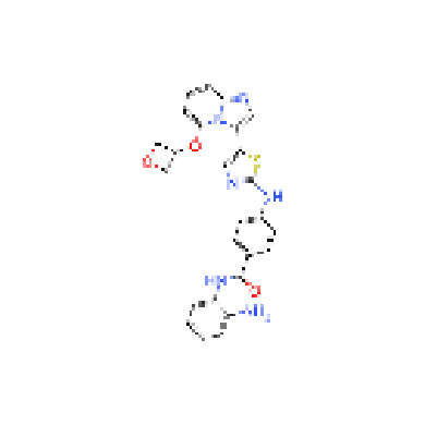 Nc1ccccc1NC(=O)c1ccc(Nc2ncc(-c3cnc4cccc(OC5COC5)n34)s2)cc1